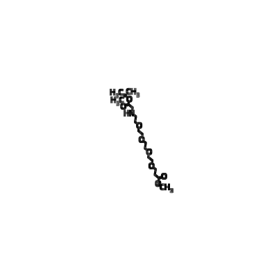 COC(=O)CCOCCOCCOCCOCCNCC(=O)OC(C)(C)C